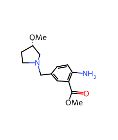 COC(=O)c1cc(CN2CC[C@H](OC)C2)ccc1N